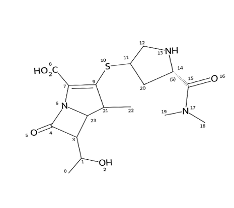 CC(O)C1C(=O)N2C(C(=O)O)=C(SC3CN[C@H](C(=O)N(C)C)C3)C(C)C12